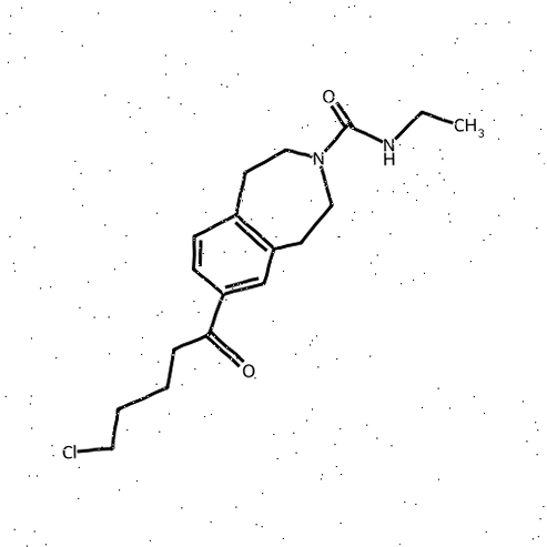 CCNC(=O)N1CCc2ccc(C(=O)CCCCCl)cc2CC1